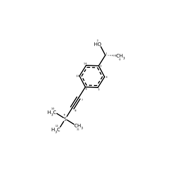 C[C@@H](O)c1ccc(C#CS(C)(C)C)cc1